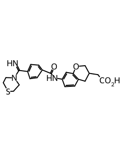 N=C(c1ccc(C(=O)Nc2ccc3c(c2)OCC(CC(=O)O)C3)cc1)N1CCSCC1